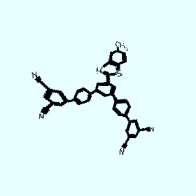 CC1C=Cc2sc(-c3cc(-c4ccc(-c5cc(C#N)cc(C#N)c5)cc4)cc(-c4ccc(-c5cc(C#N)cc(C#N)c5)cc4)c3)nc2C1